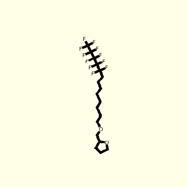 FC(F)(F)C(F)(F)C(F)(F)C(F)(F)C(F)(F)CCCCCCCCOCC1CCCO1